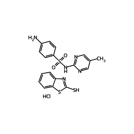 Cc1cnc(NS(=O)(=O)c2ccc(N)cc2)nc1.Cl.Sc1nc2ccccc2s1